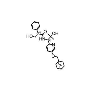 CC(C)(O)[C@H](NC(=O)[C@@H](CO)c1ccccc1)c1ccc(OCC23CCC(CC2)CC3)cn1